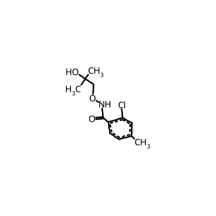 Cc1ccc(C(=O)NOCC(C)(C)O)c(Cl)c1